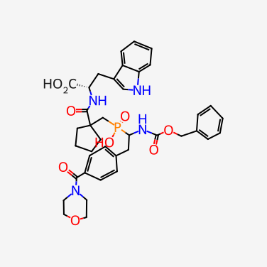 O=C(NC(Cc1ccc(C(=O)N2CCOCC2)cc1)P(=O)(O)CC1(C(=O)N[C@@H](Cc2c[nH]c3ccccc23)C(=O)O)CCCC1)OCc1ccccc1